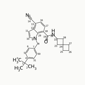 CC(C)(C)c1ccc(Cn2ccc3c(C#N)ccc(C(=O)NC4CC5(CCC5)C4)c32)cc1